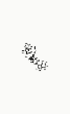 CC1(C)COCN1C(=O)N1CC(S(=O)(=O)N2CCC(c3coc4ccccc34)CC2)C1